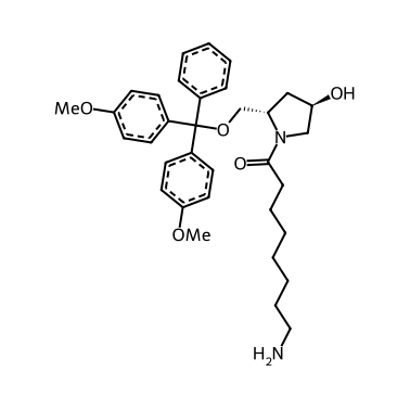 COc1ccc(C(OC[C@@H]2C[C@@H](O)CN2C(=O)CCCCCCCN)(c2ccccc2)c2ccc(OC)cc2)cc1